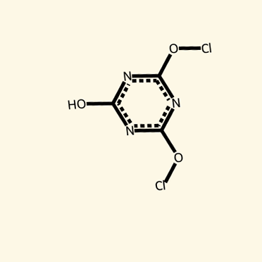 Oc1nc(OCl)nc(OCl)n1